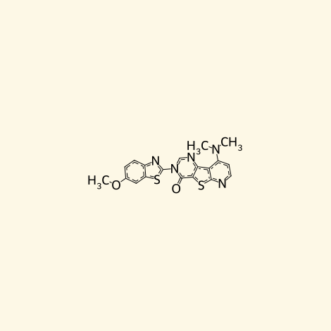 COc1ccc2nc(-n3cnc4c(sc5nccc(N(C)C)c54)c3=O)sc2c1